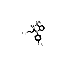 CCCC(=O)N(c1ccc(C)cc1)C1CCCC1N(C)C